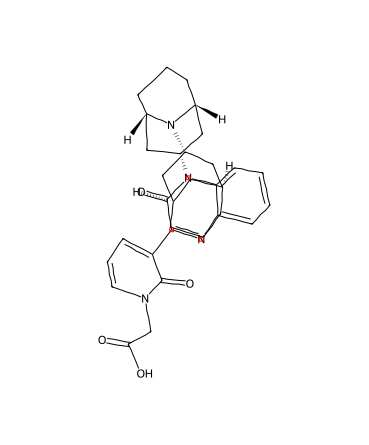 O=C(O)Cn1cccc(-c2nc3ccccc3n([C@H]3C[C@H]4CCC[C@@H](C3)N4[C@H]3C[C@@H]4CCC[C@@H](C4)C3)c2=O)c1=O